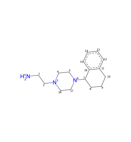 NCCN1CCN(C2CCCc3ccccc32)CC1